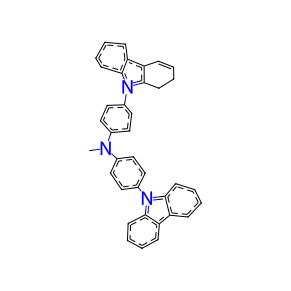 CN(c1ccc(-n2c3c(c4ccccc42)C=CCC3)cc1)c1ccc(-n2c3ccccc3c3ccccc32)cc1